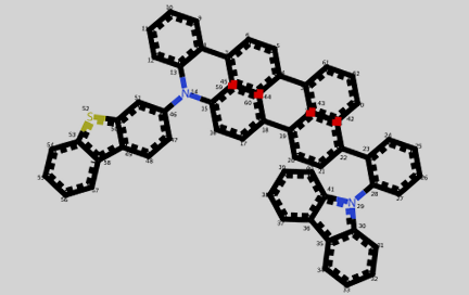 c1ccc(-c2ccc(-c3ccccc3N(c3ccc(-c4ccc(-c5ccccc5-n5c6ccccc6c6ccccc65)cc4)cc3)c3ccc4c(c3)sc3ccccc34)cc2)cc1